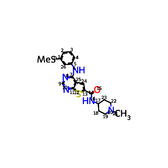 CSc1cccc(Nc2ncnc3sc(C(=O)NC4CCN(C)CC4)cc23)c1